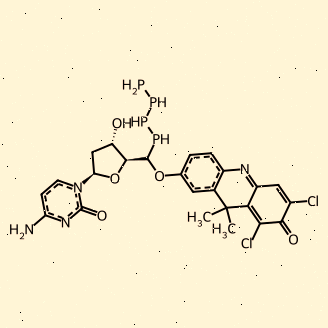 CC1(C)C2=C(Cl)C(=O)C(Cl)=CC2=Nc2ccc(OC(PPPP)[C@H]3O[C@@H](n4ccc(N)nc4=O)C[C@@H]3O)cc21